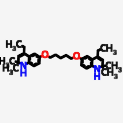 CCC1=CC(C)(C)Nc2ccc(OCCCCCOc3ccc4c(c3)C(CC)=CC(C)(C)N4)cc21